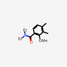 CCN(CC)C(=O)c1ccc(C)c(C)c1OC